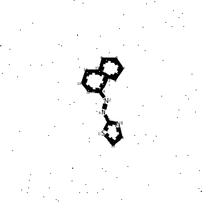 c1ccc2c(N=Nc3nccs3)cccc2c1